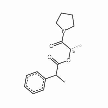 CC(C(=O)O[C@@H](C)C(=O)N1CCCC1)c1ccccc1